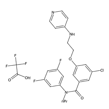 CCCN(C(=O)c1cc(Cl)cc(OCCNc2ccncc2)c1)c1cc(F)cc(F)c1.O=C(O)C(F)(F)F